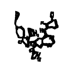 COc1cc2ncnc(Nc3cccc(Cl)c3F)c2cc1CN(C)C1(C(N)=O)CCN(CC2CC2)CC1